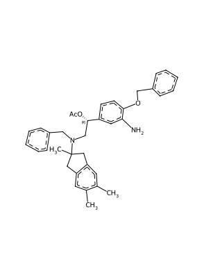 CC(=O)O[C@@H](CN(Cc1ccccc1)C1(C)Cc2cc(C)c(C)cc2C1)c1ccc(OCc2ccccc2)c(N)c1